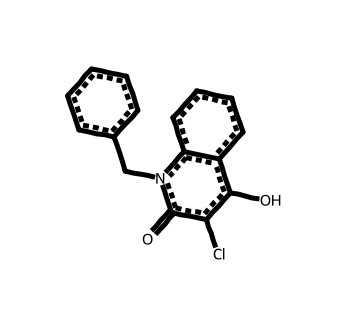 O=c1c(Cl)c(O)c2ccccc2n1Cc1ccccc1